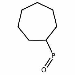 O=PC1CCCCCC1